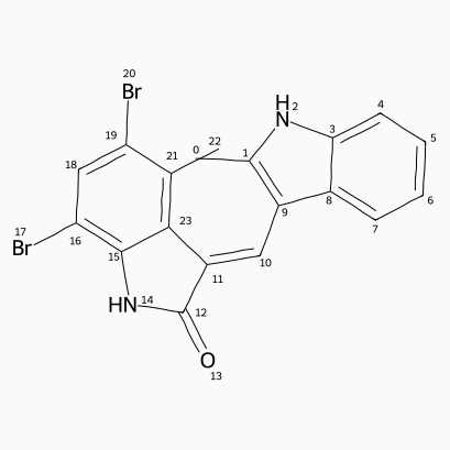 Cc1[nH]c2ccccc2c1C=C1C(=O)Nc2c(Br)cc(Br)c(C)c21